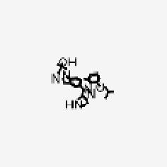 Cc1cccc(OCC(C)C)c1-n1nc2c(c1-c1ccc3c(ccn3CC(C)(O)C#N)c1)CNCC2